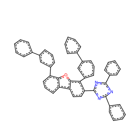 c1ccc(-c2cccc(-c3cccc4c3oc3c(-c5cccc(-c6ccccc6)c5)c(-c5nc(-c6ccccc6)nc(-c6ccccc6)n5)ccc34)c2)cc1